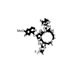 COc1cc2ccnc(O[C@@H]3C[C@H]4C(=O)N[C@]5(C(=O)NS(=O)(=O)C6(C(F)F)CC6)C[C@H]5C=CCC[C@@H](C)C[C@@H](C)[C@H](NC(=O)OC(C)(C)C(F)(F)F)C(=O)N4C3)c2cc1F